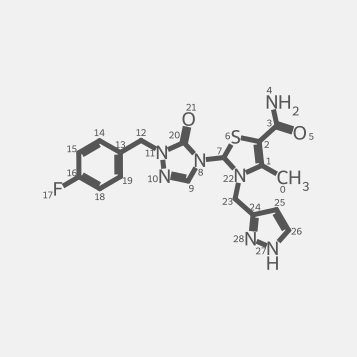 CC1=C(C(N)=O)SC(n2cnn(Cc3ccc(F)cc3)c2=O)N1Cc1cc[nH]n1